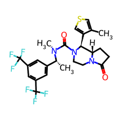 Cc1cscc1[C@H]1[C@@H]2CCC(=O)N2CCN1C(=O)N(C)[C@H](C)c1cc(C(F)(F)F)cc(C(F)(F)F)c1